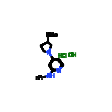 CCCNc1cc(N2CC[C@@H](NC)C2)ccn1.Cl.Cl